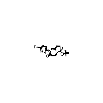 CCC1CN(c2ccc(Br)nn2)C(=O)CCN1C(=O)OC(C)(C)C